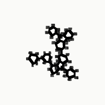 c1ccc(-c2cccc(-c3cccc4c3c3cc(-c5ccc6c(c5)c5ccccc5n6-c5ccccc5)ccc3n4-c3ccccc3)c2)cc1